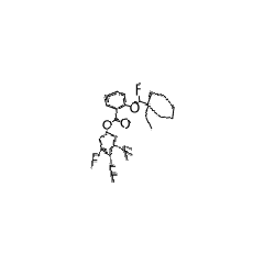 CCC1(C(F)Oc2ccccc2C(=O)Oc2cc(F)c(F)c(F)c2)CCCCC1